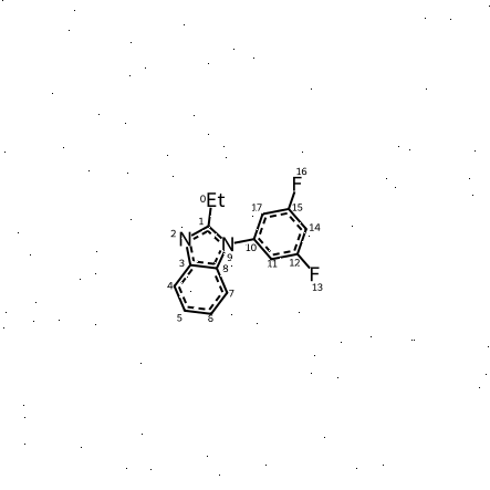 CCc1nc2ccccc2n1-c1cc(F)cc(F)c1